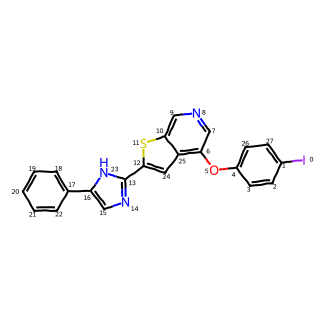 Ic1ccc(Oc2cncc3sc(-c4ncc(-c5ccccc5)[nH]4)cc23)cc1